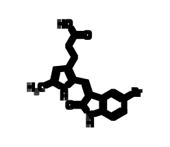 Cc1cc(CCC(=O)O)c(C=C2C(=O)Nc3ccc(Br)cc32)[nH]1